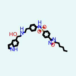 CCCCCc1nc(-c2ccc(S(=O)(=O)Nc3ccc(CCNCC(O)c4ccc5[nH]ccc5c4)cc3)cc2)no1